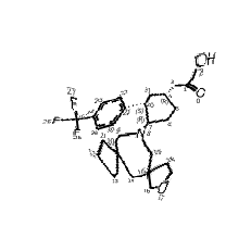 O=C(O)C[C@@H]1CC[C@@H](N2CC3(CCC3)CC3(COC3)C2)[C@H](c2ccc(C(F)(F)F)cc2)C1